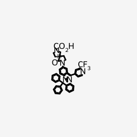 O=C(O)N1CC[C@]2(CCN(c3ccc4c(c3)c(-c3ccnc(C(F)(F)F)c3)nn4C(c3ccccc3)(c3ccccc3)c3ccccc3)C2=O)C1